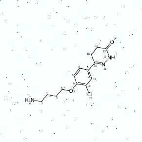 NCCCCOc1ccc(C2=NNC(=O)CC2)cc1Cl